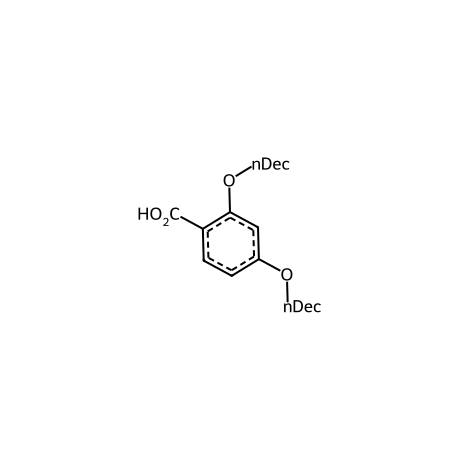 CCCCCCCCCCOc1ccc(C(=O)O)c(OCCCCCCCCCC)c1